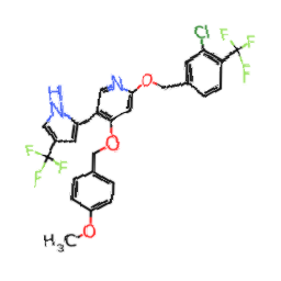 COc1ccc(COc2cc(OCc3ccc(C(F)(F)F)c(Cl)c3)ncc2-c2cc(C(F)(F)F)c[nH]2)cc1